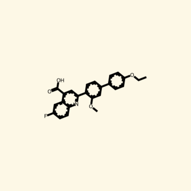 CCOc1ccc(-c2ccc(-c3cc(C(=O)O)c4cc(F)ccc4n3)c(OC)c2)cc1